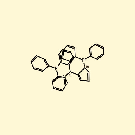 CN(C)[C@H](C1=CC=C[C@H]1P(c1ccccc1)c1ccccc1)c1ccccc1P(c1ccccc1)c1ccccc1